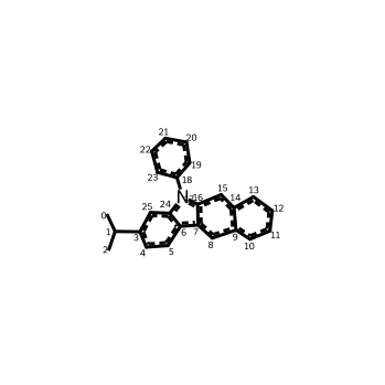 CC(C)c1ccc2c3cc4ccccc4cc3n(-c3ccccc3)c2c1